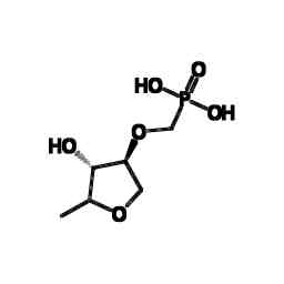 CC1OC[C@H](OCP(=O)(O)O)[C@H]1O